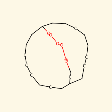 C1CCCCC2CCCCCCCCC(CCC1)CCOOOOOO2